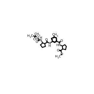 COC(=O)C1CCCC1NC(=O)c1cc(C)cc(NC(=O)C2CCCC2NC(=O)OC(C)(C)C)c1